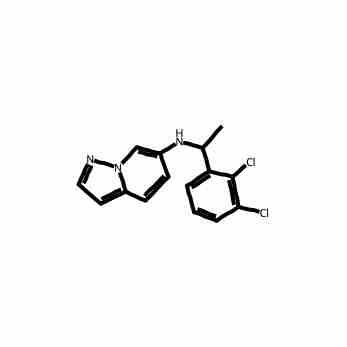 CC(Nc1ccc2ccnn2c1)c1cccc(Cl)c1Cl